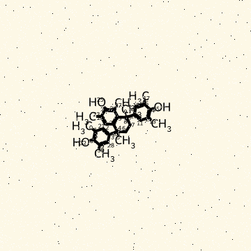 Cc1cc([C@@]2(C)CC[C@](C)(c3cc(C)c(O)c(C)c3)c3c2cc(C)c(O)c3C)cc(C)c1O